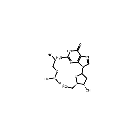 N#CCCOP(N)O.Nc1nc2c(ncn2C2C[C@H](O)[C@@H](CO)O2)c(=O)[nH]1